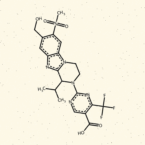 CC(C)C1c2nc3cc(CO)c(S(C)(=O)=O)cc3n2CCN1c1ncc(C(=O)O)c(C(F)(F)F)n1